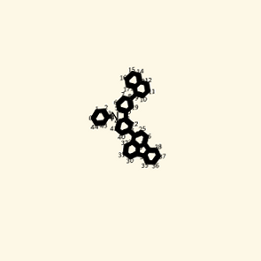 c1ccc(-n2c3ccc(-c4cccc5ccccc45)cc3c3cc(-c4ccc5c6c(cccc46)-c4ccccc4-5)ccc32)cc1